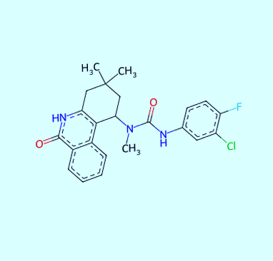 CN(C(=O)Nc1ccc(F)c(Cl)c1)C1CC(C)(C)Cc2[nH]c(=O)c3ccccc3c21